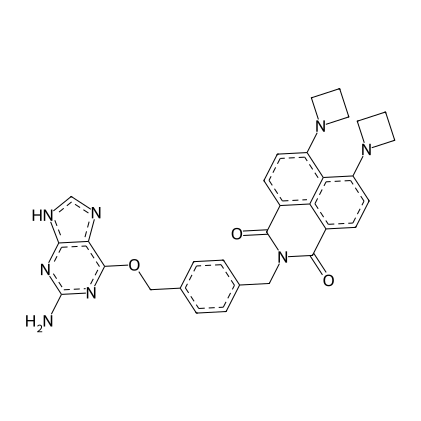 Nc1nc(OCc2ccc(CN3C(=O)c4ccc(N5CCC5)c5c(N6CCC6)ccc(c45)C3=O)cc2)c2nc[nH]c2n1